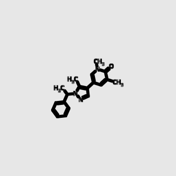 Cc1cc(-c2cnn(C(C)c3ccccc3)c2C)cn(C)c1=O